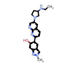 CCNC1CCN(c2cnc3nc(-c4cc5cn(C)nc5cc4O)ccc3c2)C1